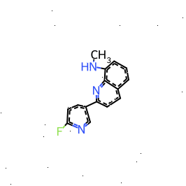 CNc1cccc2ccc(-c3ccc(F)nc3)nc12